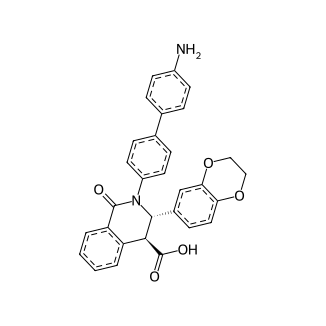 Nc1ccc(-c2ccc(N3C(=O)c4ccccc4[C@H](C(=O)O)[C@H]3c3ccc4c(c3)OCCO4)cc2)cc1